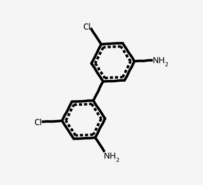 Nc1cc(Cl)cc(-c2cc(N)cc(Cl)c2)c1